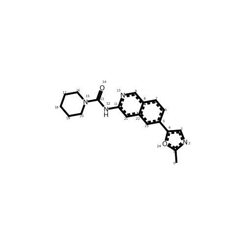 Cc1ncc(-c2ccc3cnc(NC(=O)N4CCCCC4)cc3c2)o1